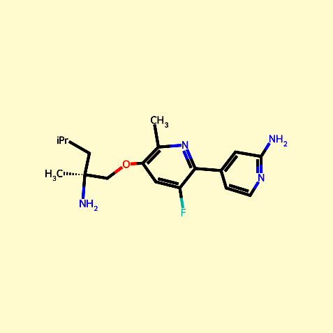 Cc1nc(-c2ccnc(N)c2)c(F)cc1OC[C@@](C)(N)CC(C)C